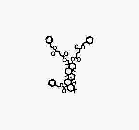 CC1(C)CC[C@]2(C(=O)OCc3ccccc3)CC[C@]3(C)C(=CCC4[C@@]5(C)CC[C@H](OC(=O)CCC(=O)OCc6ccccc6)[C@@](C)(COC(=O)CCC(=O)OCc6ccccc6)C5CC[C@]43C)[C@@H]2C1